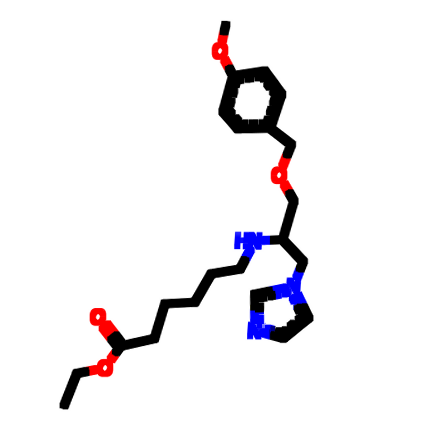 CCOC(=O)CCCCCNC(COCc1ccc(OC)cc1)Cn1ccnc1